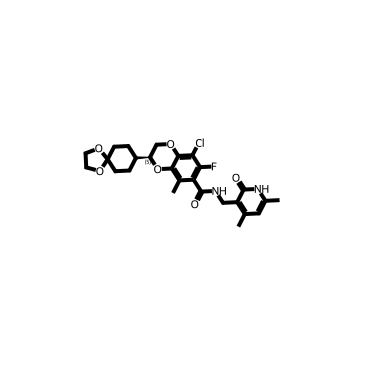 Cc1cc(C)c(CNC(=O)c2c(C)c3c(c(Cl)c2F)OC[C@H](C2CCC4(CC2)OCCO4)O3)c(=O)[nH]1